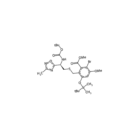 COC(=O)c1c(Br)c(OC)cc(O[Si](C)(C)C(C)(C)C)c1CSC[C@H](NC(=O)OC(C)(C)C)c1nc(C)no1